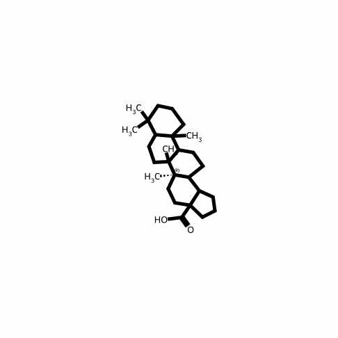 CC1(C)CCCC2(C)C1CCC1(C)C2CCC2C3CCCC3(C(=O)O)CC[C@]21C